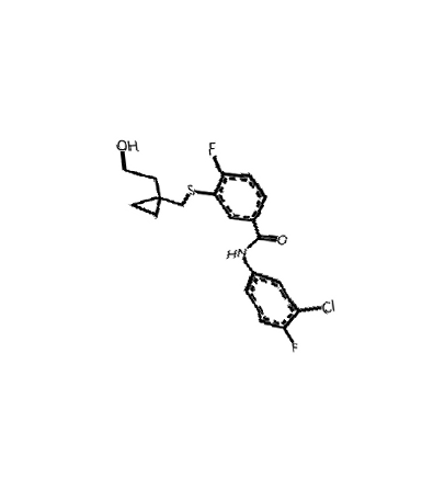 O=C(Nc1ccc(F)c(Cl)c1)c1ccc(F)c(SCC2(CCO)CC2)c1